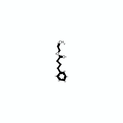 C=CCOC(=O)CCCc1ccccc1